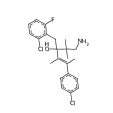 CC(=C(C)C(O)(Cc1c(F)cccc1Cl)C(C)(C)CN)c1ccc(Cl)cc1